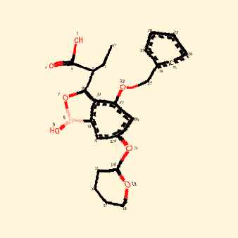 CCC(C(=O)O)C1OB(O)c2cc(OC3CCCCO3)cc(OCc3ccccc3)c21